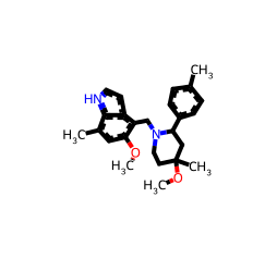 COc1cc(C)c2[nH]ccc2c1CN1CCC(C)(OC)CC1c1ccc(C)cc1